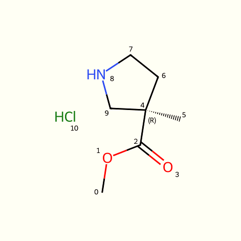 COC(=O)[C@]1(C)CCNC1.Cl